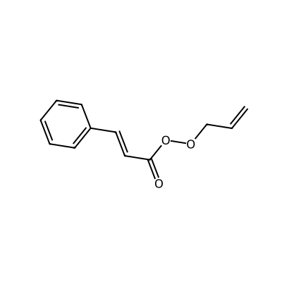 C=CCOOC(=O)C=Cc1ccccc1